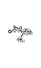 CC[C@H](C)[C@H](CCC(=O)N1CCC[C@H]1[C@H](OC)[C@@H](C)C(=O)NCCc1ccccc1)N(C)C(=O)[C@@H](NC(=O)[C@@H](NC)C(C)C)C(C)C.O=C(O)C(F)(F)F